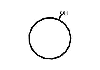 OC1CCCCCCCCCCCCCCCC1